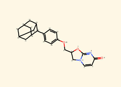 O=c1ccn2c(n1)OC(COc1ccc(C3C4CC5CC(C4)CC3C5)cc1)C2